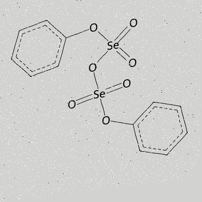 O=[Se](=O)(Oc1ccccc1)O[Se](=O)(=O)Oc1ccccc1